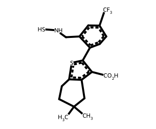 CC1(C)CCc2sc(-c3ccc(C(F)(F)F)cc3CNS)c(C(=O)O)c2C1